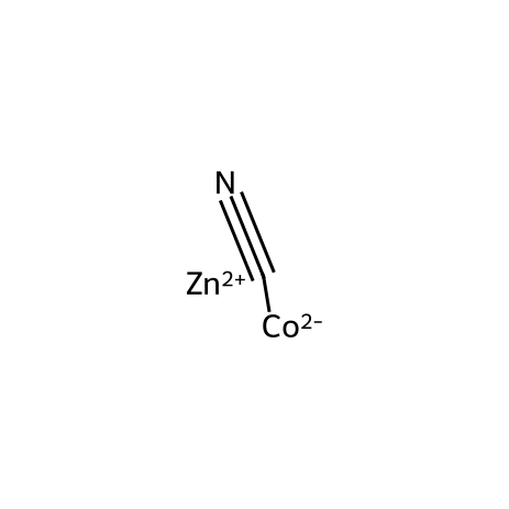 N#[C][Co-2].[Zn+2]